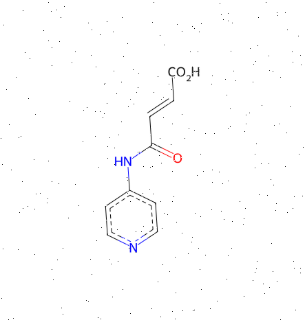 O=C(O)C=CC(=O)Nc1ccncc1